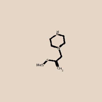 C=C(CN1CCNCC1)SSC